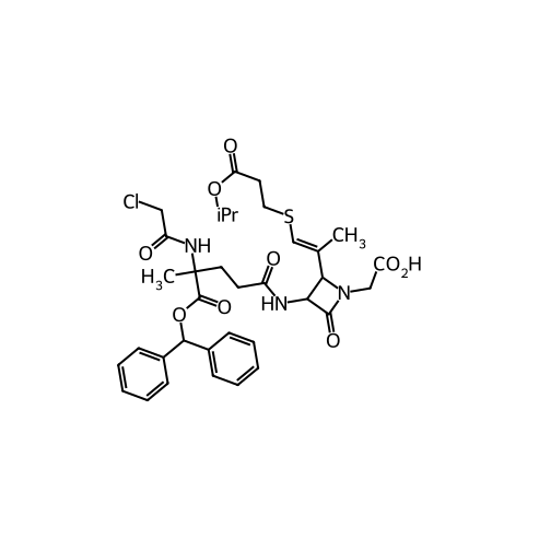 CC(=CSCCC(=O)OC(C)C)C1C(NC(=O)CCC(C)(NC(=O)CCl)C(=O)OC(c2ccccc2)c2ccccc2)C(=O)N1CC(=O)O